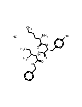 CCCC[C@H](N)C(=O)N[C@@H](Cc1ccc(O)cc1)C(=O)N[C@H](C(=O)NCc1ccccc1)[C@@H](C)CC.Cl